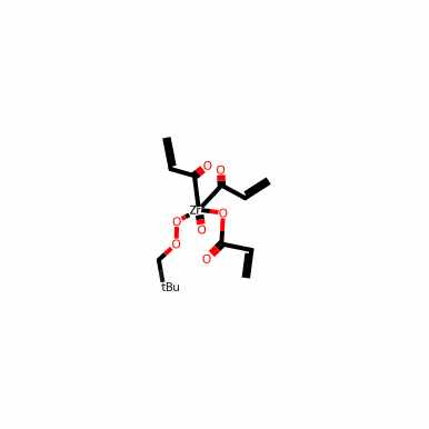 C=CC(=O)[O][Zr](=[O])([O]OCC(C)(C)C)([C](=O)C=C)[C](=O)C=C